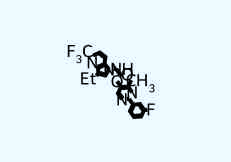 CCc1cn(NC(=O)Oc2cnc(-c3cccc(F)c3)nc2C)c2ccc(C(F)(F)F)nc12